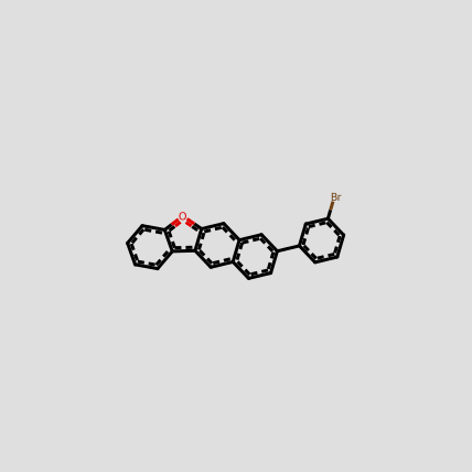 Brc1cccc(-c2ccc3cc4c(cc3c2)oc2ccccc24)c1